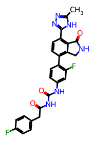 Cc1nnc(-c2ccc(-c3ccc(NC(=O)NC(=O)Cc4ccc(F)cc4)cc3F)c3c2C(=O)NC3)[nH]1